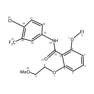 CCOc1cccc(OCCOC)c1C(=O)Nc1ccc(Cl)c(C(F)(F)F)c1